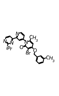 Cc1cccc(COc2cc(C)n(-c3ccnc(-c4ccnc(C(C)C)n4)c3)c(=O)c2Br)c1